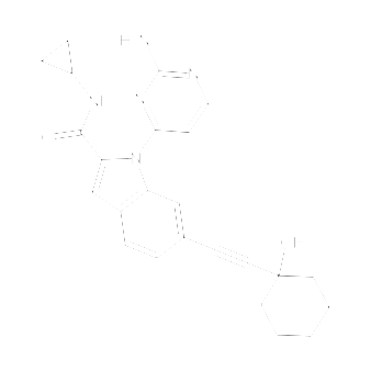 Nc1nccc(-n2c(C(=O)NC3CC3)cc3ccc(C#CC4(O)CCCCC4)cc32)n1